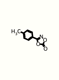 Cc1ccc(-c2noc(=O)o2)cc1